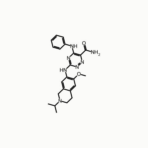 COc1cc2c(cc1Nc1nnc(C(N)=O)c(Nc3ccccc3)n1)CN(C(C)C)CC2